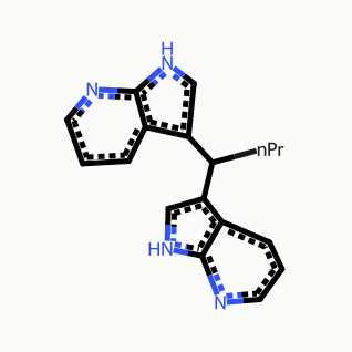 CCCC(c1c[nH]c2ncccc12)c1c[nH]c2ncccc12